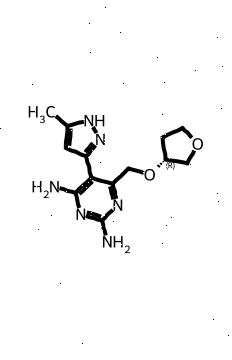 Cc1cc(-c2c(N)nc(N)nc2CO[C@@H]2CCOC2)n[nH]1